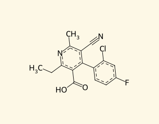 CCc1nc(C)c(C#N)c(-c2ccc(F)cc2Cl)c1C(=O)O